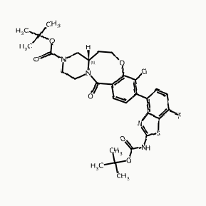 CC(C)(C)OC(=O)Nc1nc2c(-c3ccc4c(c3Cl)OCC[C@H]3CN(C(=O)OC(C)(C)C)CCN3C4=O)ccc(F)c2s1